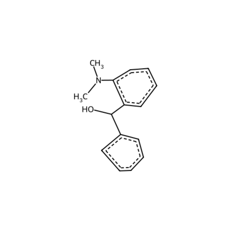 CN(C)c1ccccc1C(O)c1ccccc1